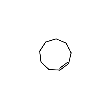 [CH]1CC/C=C\CCCC1